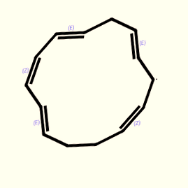 [CH]1/C=C\CC/C=C/C=C\C=C\C/C=C/1